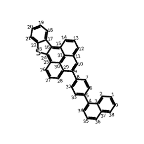 c1ccc2c(-c3ccc(-c4cc5cccc6c7c8ccccc8sc7c7cccc4c7c56)cc3)cccc2c1